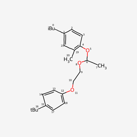 CCC(C)c1ccc(OC(C)OCCOc2ccc(C(C)(C)C)cc2)c(C)c1